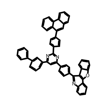 c1ccc(-c2cccc(-c3cc(-c4ccc(-c5nc6ccccc6c6oc7ccccc7c56)cc4)nc(-c4ccc(-c5cc6ccccc6c6ccccc56)cc4)n3)c2)cc1